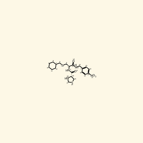 O=C(N[C@@H](CSCC1CCCCC1)C(=O)NCc1ccc([N+](=O)[O-])cc1)[C@@H]1CSCN1